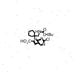 CC(C)(C)OC(=O)NCC1(n2c(C(=O)O)cc3cnc(Cl)nc32)CCCCC1